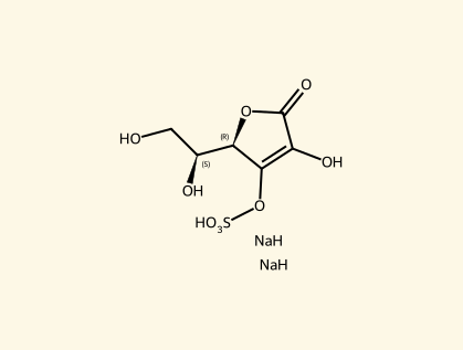 O=C1O[C@H]([C@@H](O)CO)C(OS(=O)(=O)O)=C1O.[NaH].[NaH]